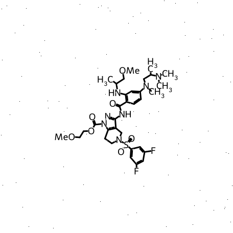 COCCOC(=O)n1nc(NC(=O)c2ccc(N(C)CC(C)N(C)C)cc2NC(C)COC)c2c1CCN(S(=O)(=O)c1cc(F)cc(F)c1)C2